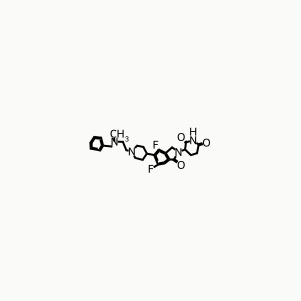 CN(CCN1CCC(c2c(F)cc3c(c2F)CN(C2CCC(=O)NC2=O)C3=O)CC1)Cc1ccccc1